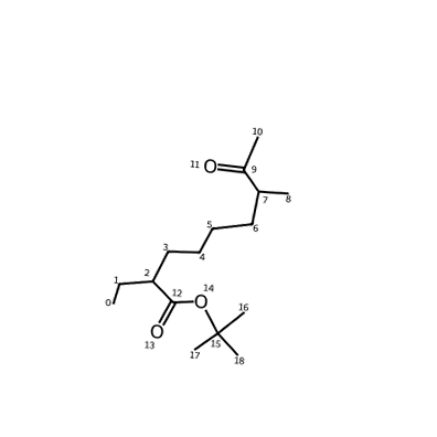 CCC(CCCCC(C)C(C)=O)C(=O)OC(C)(C)C